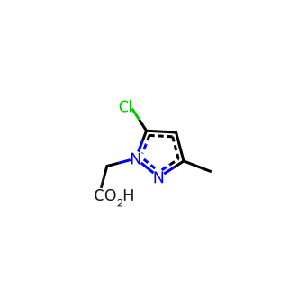 Cc1cc(Cl)n(CC(=O)O)n1